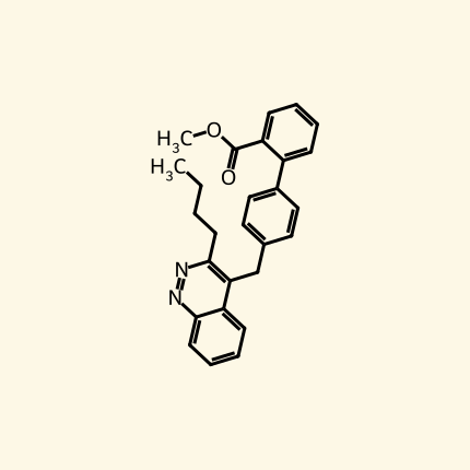 CCCCc1nnc2ccccc2c1Cc1ccc(-c2ccccc2C(=O)OC)cc1